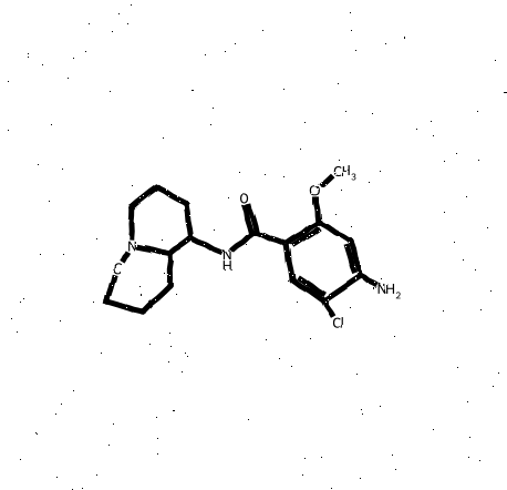 COc1cc(N)c(Cl)cc1C(=O)NC1CCCN2CCCCC12